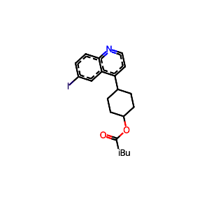 CCC(C)C(=O)OC1CCC(c2ccnc3ccc(I)cc23)CC1